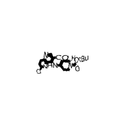 CC(C)(C)OC(=O)N1CCC(Nc2c(C(=O)O)cnc3ccc(Cl)nc23)CC1